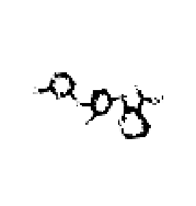 O=C(O)c1cccnc1Nc1ccc(Oc2ccnc(Cl)n2)c(F)c1